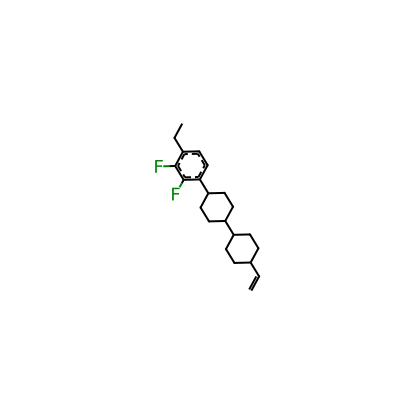 C=CC1CCC(C2CCC(c3ccc(CC)c(F)c3F)CC2)CC1